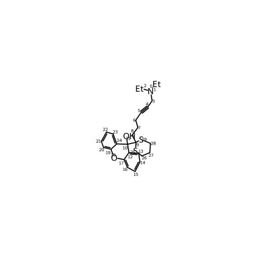 CCN(CC)CC#CCCCC1(C2(O)c3ccccc3Oc3ccccc32)SCCCS1